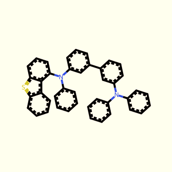 c1ccc(N(c2ccccc2)c2cccc(-c3cccc(N(c4ccccc4)c4cccc5sc6ccccc6c45)c3)c2)cc1